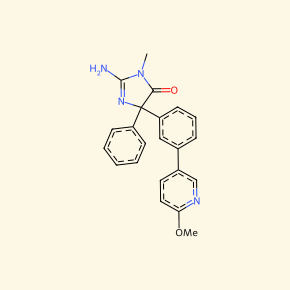 COc1ccc(-c2cccc(C3(c4ccccc4)N=C(N)N(C)C3=O)c2)cn1